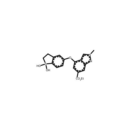 CCOC(=O)c1cc(Oc2ccc3c(c2)CCS3(O)O)c2cn(C)nc2c1